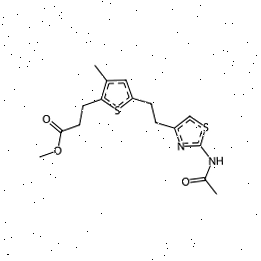 COC(=O)CCc1sc(CCc2csc(NC(C)=O)n2)cc1C